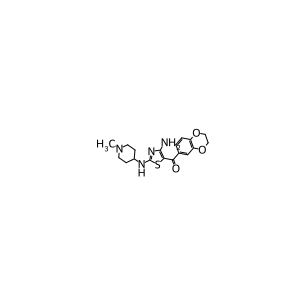 CN1CCC(Nc2nc(N)c(C(=O)c3ccc4c(c3)OCCO4)s2)CC1